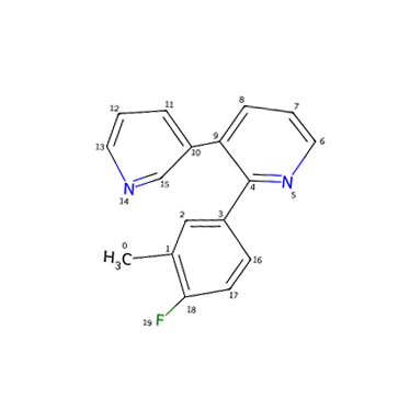 Cc1cc(-c2ncccc2-c2cccnc2)ccc1F